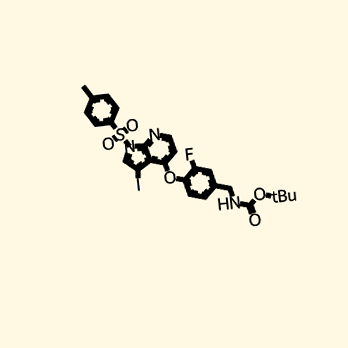 Cc1ccc(S(=O)(=O)n2cc(I)c3c(Oc4ccc(CNC(=O)OC(C)(C)C)cc4F)ccnc32)cc1